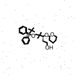 CC(C)(CO[Si](c1ccccc1)(c1ccccc1)C(C)(C)C)[C@H](CCO)OC1CCCCO1